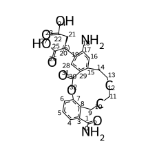 NC(=O)c1cccc2c1CCCCCCc1cc(N)c([C@H](CC(=O)O)C(=O)O)cc1C(=O)O2